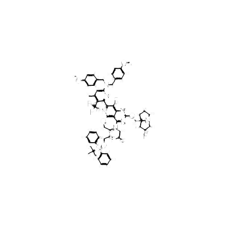 COc1ccc(CN(Cc2ccc(OC)cc2)c2cc(C)c(C(F)(F)F)c(-c3nc4c5c(nc(OC[C@@]67CCCN6C[C@H](F)C7)nc5c3F)N(CC(F)F)[C@@H](CCO[Si](c3ccccc3)(c3ccccc3)C(C)(C)C)CO4)n2)cc1